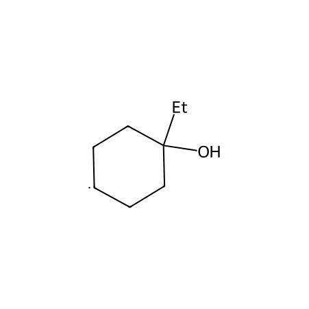 CCC1(O)CC[CH]CC1